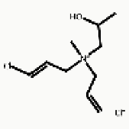 C=CC[N+](C)(CC=CCl)CC(C)O.[Cl-]